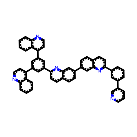 c1cncc(-c2cccc(-c3ccc4ccc(-c5ccc6ccc(-c7cc(-c8ccnc9ccccc89)cc(-c8ccnc9ccccc89)c7)nc6c5)cc4n3)c2)c1